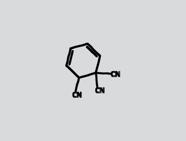 N#CC1C=CC=CC1(C#N)C#N